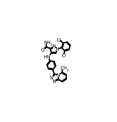 Cc1cccc2nnc(-c3ccc(Nc4cn(-c5c(Cl)cccc5Cl)nc4C(N)=O)cc3)n12